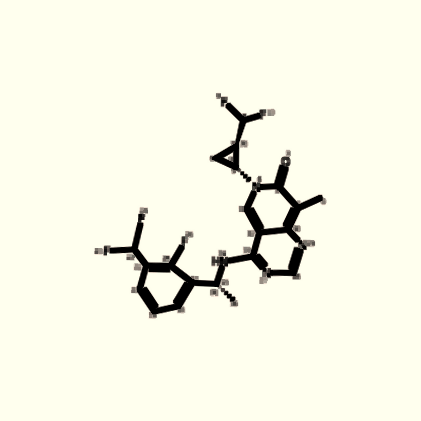 Cc1c(=O)n([C@@H]2C[C@H]2C(F)F)cc2c(N[C@H](C)c3cccc(C(F)F)c3F)ncnc12